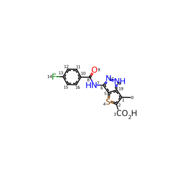 Cc1c(C(=O)O)sc2c(NC(=O)c3ccc(F)cc3)n[nH]c12